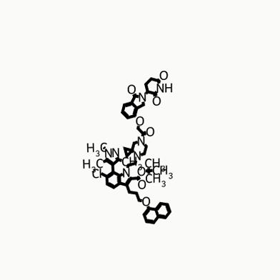 Cc1nn(C)c(C)c1-c1c(Cl)ccc2c(CCCOc3cccc4ccccc34)c(C(=O)OC(C)(C)C)n(CCN3CCN(C(=O)COc4cccc5c4CN(C4CCC(=O)NC4=O)C5=O)CC34CC4)c12